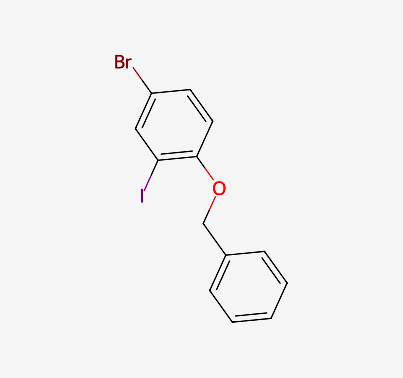 Brc1ccc(OCc2ccccc2)c(I)c1